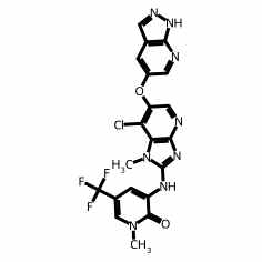 Cn1cc(C(F)(F)F)cc(Nc2nc3ncc(Oc4cnc5[nH]ncc5c4)c(Cl)c3n2C)c1=O